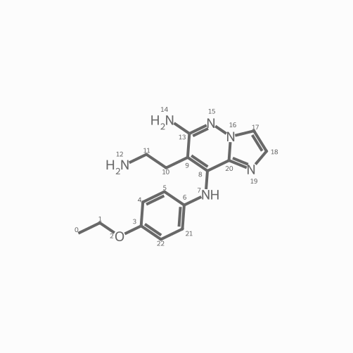 CCOc1ccc(Nc2c(CCN)c(N)nn3ccnc23)cc1